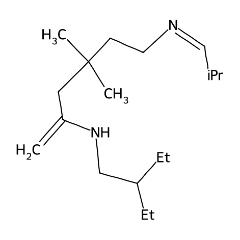 C=C(CC(C)(C)CC/N=C\C(C)C)NCC(CC)CC